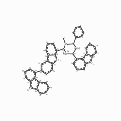 CN1C(c2ccccc2)NC(c2cccc3oc4ccccc4c23)NC1c1cccc2c1oc1ccc(-c3cccc4oc5ccccc5c34)cc12